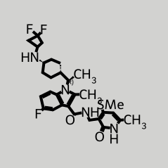 CSc1cc(C)[nH]c(=O)c1CNC(=O)c1c(C)n([C@H](C)[C@H]2CC[C@@H](NC3CC(F)(F)C3)CC2)c2ccc(F)cc12